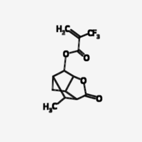 C=C(C(=O)OC1C2CC3C1OC(=O)C3C2C)C(F)(F)F